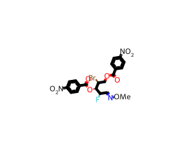 CO/N=C/[C@@H](F)[C@H](OC(=O)c1ccc([N+](=O)[O-])cc1)[C@@H](Br)COC(=O)c1ccc([N+](=O)[O-])cc1